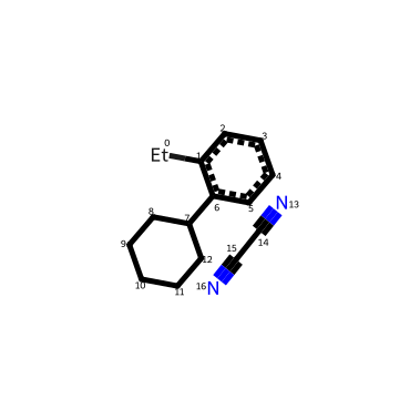 CCc1ccccc1C1CCCCC1.N#CC#N